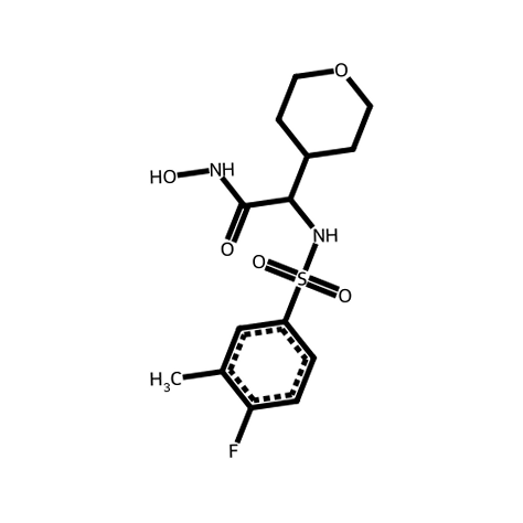 Cc1cc(S(=O)(=O)NC(C(=O)NO)C2CCOCC2)ccc1F